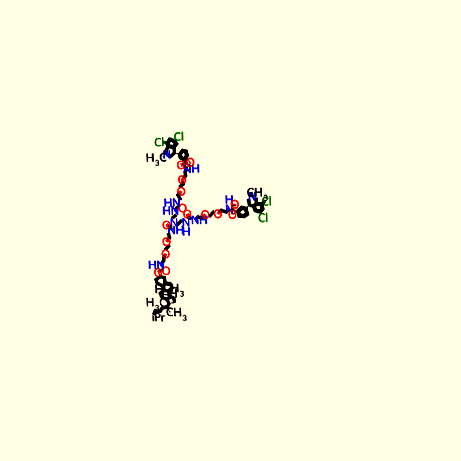 CC(C)CCC[C@@H](C)[C@H]1CC[C@H]2[C@@H]3CC=C4C[C@@H](OC(=O)NCCOCCOCCNC(=O)N(CCNC(=O)NCCOCCOCCNS(=O)(=O)c5cccc([C@@H]6CN(C)Cc7c(Cl)cc(Cl)cc76)c5)CCNC(=O)NCCOCCOCCNS(=O)(=O)c5cccc([C@@H]6CN(C)Cc7c(Cl)cc(Cl)cc76)c5)CC[C@]4(C)[C@H]3CC[C@]12C